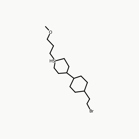 COCCC[SiH]1CCC(C2CCC(CCBr)CC2)CC1